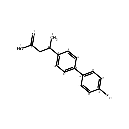 CC(CC(=O)O)c1ccc(-c2ccc(F)cc2)cc1